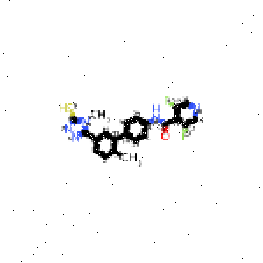 Cc1ccc(-c2nnc(S)n2C)cc1-c1ccc(NC(=O)c2c(F)cncc2F)cc1